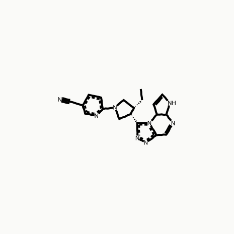 CC[C@H]1CN(c2ccc(C#N)cn2)C[C@H]1c1nnc2n1C1C=CNC1N=C2